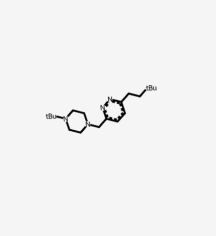 CC(C)(C)CCc1ccc(CN2CCN(C(C)(C)C)CC2)nn1